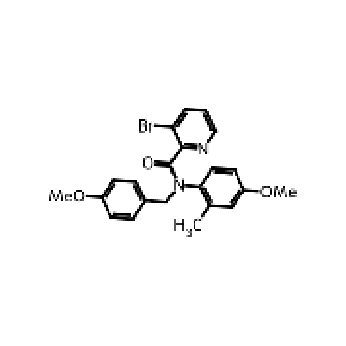 COc1ccc(CN(C(=O)c2ncccc2Br)c2ccc(OC)cc2C)cc1